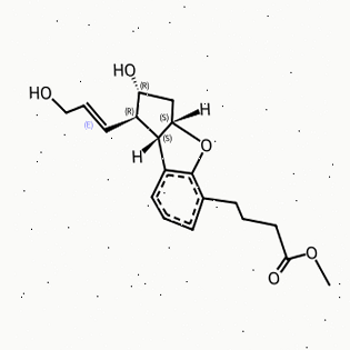 COC(=O)CCCc1cccc2c1O[C@H]1C[C@@H](O)[C@H](/C=C/CO)[C@@H]21